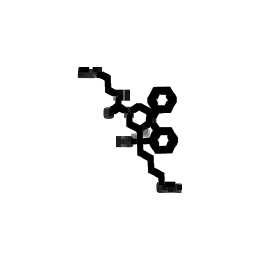 CNCCNC(=O)N1CCC[C@@H]([C@@](O)(CCCCOC)c2ccccc2Oc2ccccc2)C1